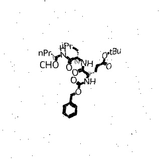 CCC[C@@H](C=O)NC(=O)[C@H](CC(C)C)NC(=O)[C@H](CCC(=O)OC(C)(C)C)NC(=O)OCc1ccccc1